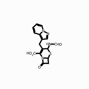 O=CNC1SC2CC(=O)N2C(C(=O)O)=C1Cc1cnn2ccccc12